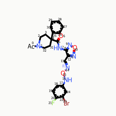 CC(=O)N1CCC(C(=O)Nc2nonc2/C=N/ONc2ccc(F)c(Br)c2)(c2ccccc2)CC1